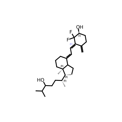 C=C1CC[C@H](O)C(F)(F)/C1=C/C=C1CCC[C@@]2(C)C1CC[C@@H]2[C@H](C)CCC(O)C(C)C